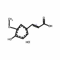 COc1cc(/C=C/C(=O)O)ccc1O.Cl